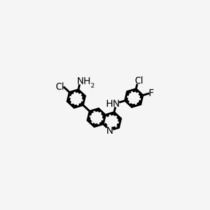 Nc1cc(-c2ccc3nccc(Nc4ccc(F)c(Cl)c4)c3c2)ccc1Cl